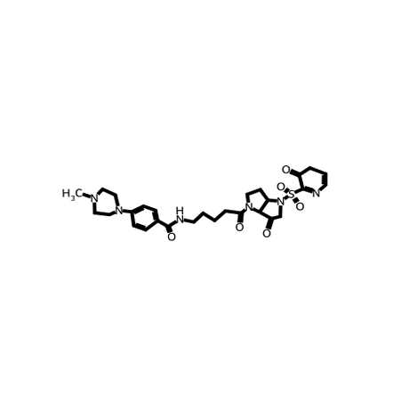 CN1CCN(c2ccc(C(=O)NCCCCC(=O)N3CCC4C3C(=O)CN4S(=O)(=O)C3=NC=CCC3=O)cc2)CC1